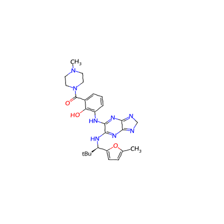 Cc1ccc([C@H](Nc2nc3c(nc2Nc2cccc(C(=O)N4CCN(C)CC4)c2O)=NCN=3)C(C)(C)C)o1